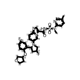 Cc1ccc(N(C)S(=O)(=O)NC(=O)c2cnc3ccc(N4CC(F)CC4c4cc(F)ccc4OC4CCOC4)cn23)nn1